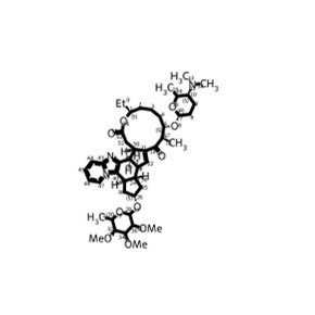 CC[C@H]1CCC[C@H](O[C@H]2CC[C@H](N(C)C)C(C)O2)[C@@H](C)C(=O)C2=C[C@H]3[C@@H]4C[C@H](OC5OC(C)C(OC)C(OC)C5OC)C[C@H]4c4c(nc5ccccn45)[C@H]3[C@@H]2CC(=O)O1